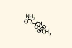 CS(=O)(=O)c1ncc([CH]CC(N)=O)o1